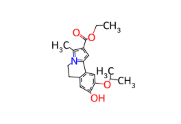 CCOC(=O)c1cc2n(c1C)CCc1cc(O)c(OC(C)C)cc1-2